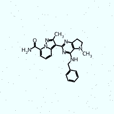 Cc1nn2c(C(N)=O)cccc2c1-c1nc2c(c(NCc3ccccc3)n1)N(C)CC2